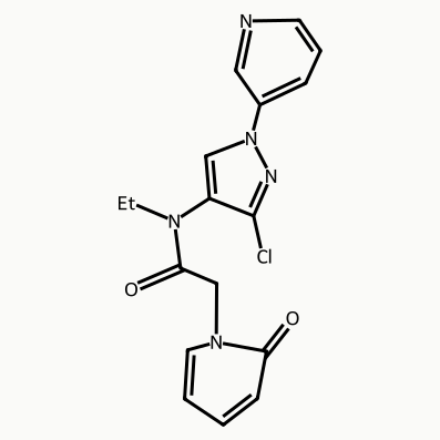 CCN(C(=O)Cn1ccccc1=O)c1cn(-c2cccnc2)nc1Cl